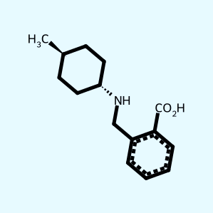 C[C@H]1CC[C@H](NCc2ccccc2C(=O)O)CC1